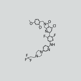 COc1ccc(CN2Cc3nc(-c4c(F)cc(Nc5ccc(N6CCN(CCC(F)(F)F)CC6)cn5)cc4F)cc(Cl)c3C2=O)c(OC)c1